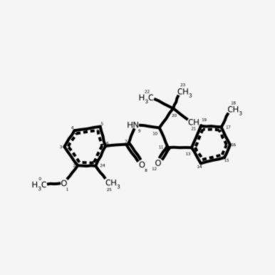 COc1cccc(C(=O)NC(C(=O)c2cccc(C)c2)C(C)(C)C)c1C